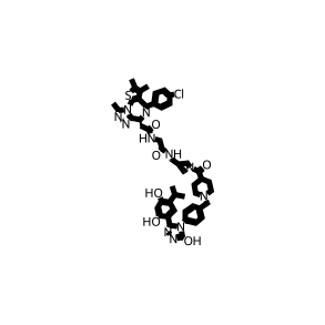 Cc1sc2c(c1C)C(c1ccc(Cl)cc1)=N[C@@H](CC(=O)NCC(=O)NCC1CN(C(=O)C3CCN(Cc4ccc(-n5c(O)nnc5-c5cc(C(C)C)c(O)cc5O)cc4)CC3)C1)c1nnc(C)n1-2